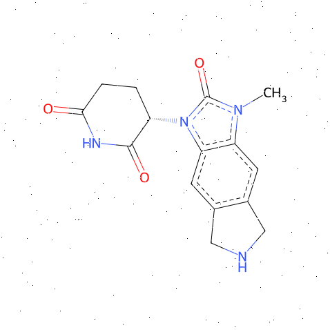 Cn1c(=O)n([C@H]2CCC(=O)NC2=O)c2cc3c(cc21)CNC3